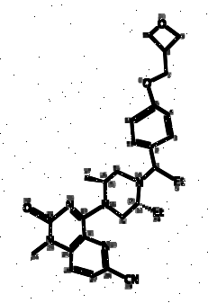 CCC(c1ccc(OCC2COC2)cc1)N1C[C@H](C)N(c2nc(=O)n(C)c3ccc(C#N)nc23)C[C@H]1CC